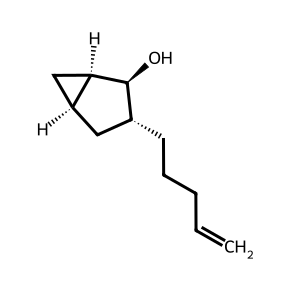 C=CCCC[C@@H]1C[C@H]2C[C@H]2[C@H]1O